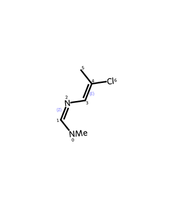 CN/C=N\C=C(/C)Cl